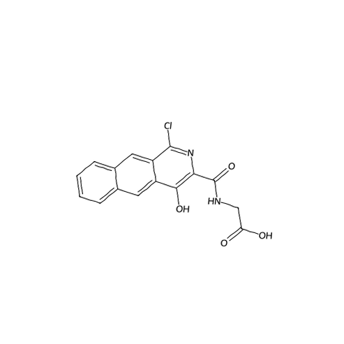 O=C(O)CNC(=O)c1nc(Cl)c2cc3ccccc3cc2c1O